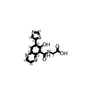 O=C(O)CNC(=O)c1c(O)c(-c2cncs2)cc2nccnc12